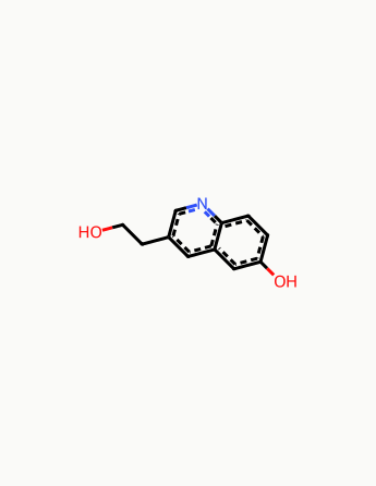 OCCc1cnc2ccc(O)cc2c1